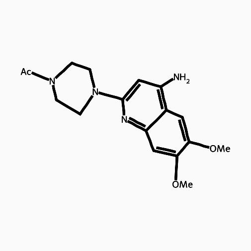 COc1cc2nc(N3CCN(C(C)=O)CC3)cc(N)c2cc1OC